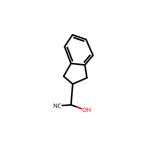 N#CC(O)C1Cc2ccccc2C1